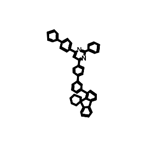 c1ccc(-c2ccc(-c3cc(-c4ccc(-c5cccc(-c6cccc7c6C6(CCCCC6)c6ccccc6-7)c5)cc4)nc(-c4ccccc4)n3)cc2)cc1